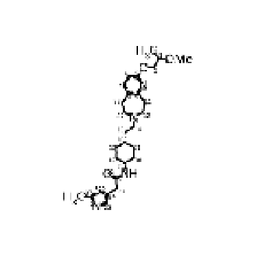 COC(C)COc1ccc2c(n1)CCN(CC[C@H]1CC[C@H](NC(=O)Cc3cnc(C)s3)CC1)CC2